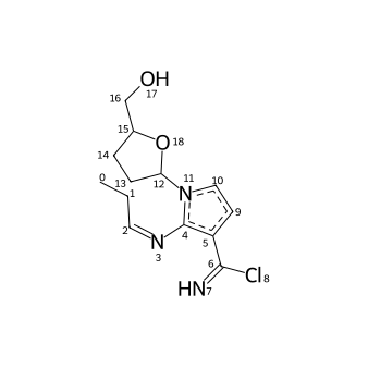 CC/C=N\c1c(C(=N)Cl)ccn1C1CCC(CO)O1